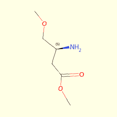 COC[C@@H](N)CC(=O)OC